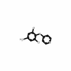 Nc1cc(Cl)c(Sc2ccncc2)c(Cl)c1